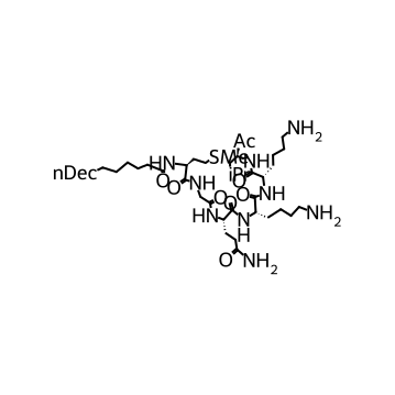 CCCCCCCCCCCCCCCC(=O)N[C@@H](CCSC)C(=O)NCC(=O)N[C@@H](CCC(N)=O)C(=O)N[C@@H](CCCCN)C(=O)N[C@@H](CCCCN)C(=O)N[C@@H](CC(C)C)C(C)=O